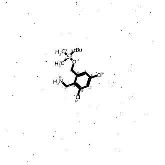 CC(C)(C)[Si](C)(C)OCc1cc(Cl)cc(Cl)c1CN